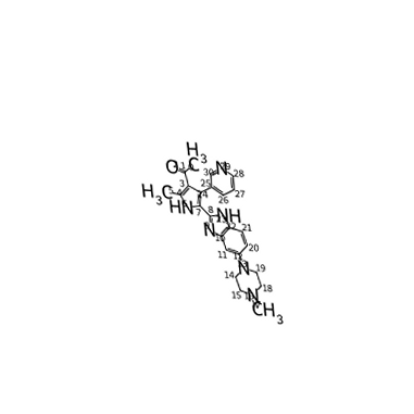 CC(=O)c1c(C)[nH]c(-c2nc3cc(N4CCN(C)CC4)ccc3[nH]2)c1-c1cccnc1